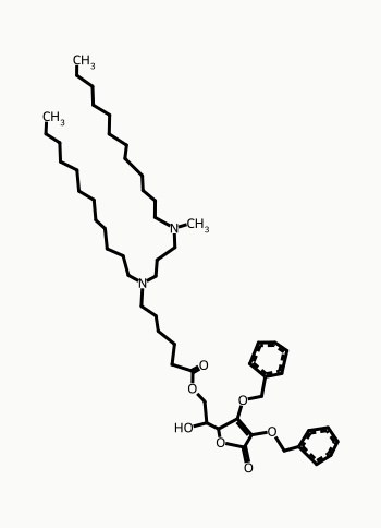 CCCCCCCCCCCCN(C)CCCN(CCCCCCCCCCCC)CCCCCC(=O)OCC(O)C1OC(=O)C(OCc2ccccc2)=C1OCc1ccccc1